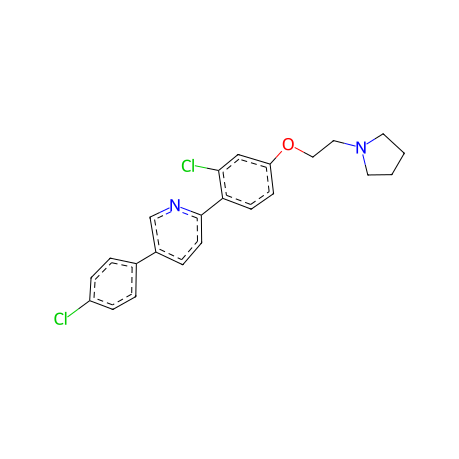 Clc1ccc(-c2ccc(-c3ccc(OCCN4CCCC4)cc3Cl)nc2)cc1